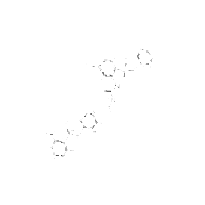 O=C(Nc1cc(C(F)(F)F)ccc1S(=O)(=O)Cc1ccccc1)NC(Cc1ccc(NC(=O)c2c(Cl)cccc2Cl)cc1)C(=O)O